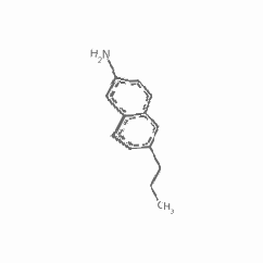 CCCc1ccc2cc(N)ccc2c1